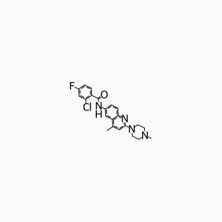 Cc1cc(N2CCN(C)CC2)nc2ccc(NC(=O)c3ccc(F)cc3Cl)cc12